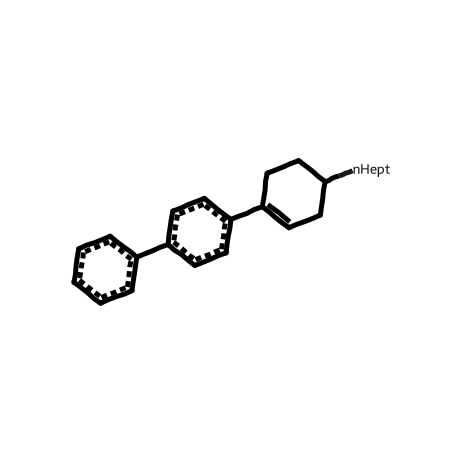 CCCCCCCC1CC=C(c2ccc(-c3ccccc3)cc2)CC1